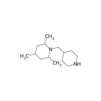 CC1CC(C)N(CC2CCNCC2)C(C)C1